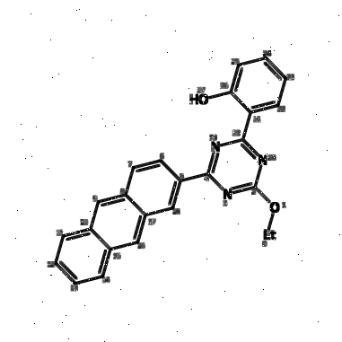 CCOc1nc(-c2ccc3cc4ccccc4cc3c2)nc(-c2ccccc2O)n1